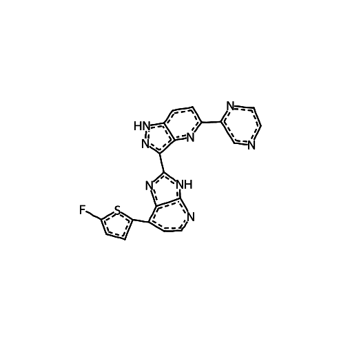 Fc1ccc(-c2ccnc3[nH]c(-c4n[nH]c5ccc(-c6cnccn6)nc45)nc23)s1